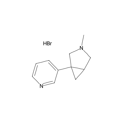 Br.CN1CC2CC2(c2cccnc2)C1